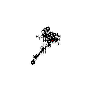 CCC1CC(C(=O)NCCNC(=O)CCOCCOCC(=O)OCc2ccccc2)C[C@@H](O[C@@H]2OC(CO)[C@H](O)C(O[C@@H](CC3CCCCC3)C(=O)O)C2NC(C)=O)C1O[C@@H]1O[C@@H](C)[C@@H](O)C(O)C1O